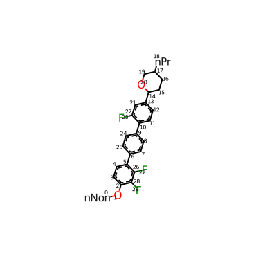 CCCCCCCCCOc1ccc(-c2ccc(-c3ccc(C4CCC(CCC)CO4)cc3F)cc2)c(F)c1F